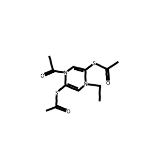 CCN1C=C(SC(C)=O)N(C(C)=O)C=C1SC(C)=O